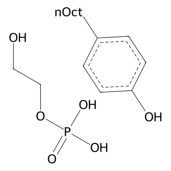 CCCCCCCCc1ccc(O)cc1.O=P(O)(O)OCCO